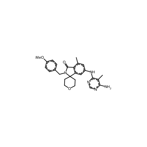 COc1ccc(CN2C(=O)c3c(C)cc(Nc4ncnc(N)c4C)cc3C23CCOCC3)cc1